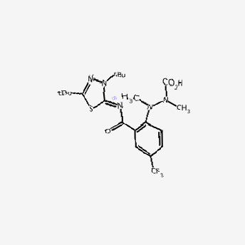 CCCCn1nc(C(C)(C)C)s/c1=N\C(=O)c1cc(C(F)(F)F)ccc1N(C)N(C)C(=O)O